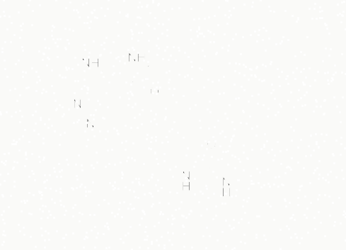 Cc1cccc(NC(=O)Nc2ccc(-c3nn(C)c(N)c3C(N)=O)cc2)c1